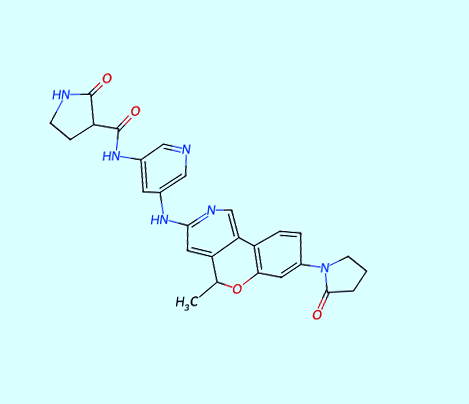 CC1Oc2cc(N3CCCC3=O)ccc2-c2cnc(Nc3cncc(NC(=O)C4CCNC4=O)c3)cc21